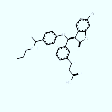 CCCNC(C)c1ccc(NC(=C2C(=O)Nc3cc(Br)ccc32)c2cccc(CCC(=O)O)c2)cc1